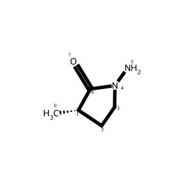 C[C@H]1CCN(N)C1=O